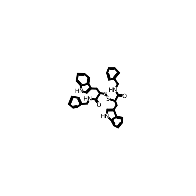 O=C(NCc1ccccc1)C(Cc1c[nH]c2ccccc12)SSC(Cc1c[nH]c2ccccc12)C(=O)NCc1ccccc1